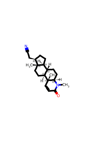 CN1C(=O)C=C[C@]2(C)[C@H]3CC[C@]4(C)[C@@H](CC#N)CC[C@H]4[C@@H]3CC[C@@H]12